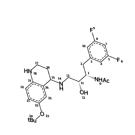 CC(=O)N[C@@H](Cc1cc(F)cc(F)c1)[C@H](O)CNC1CCNc2ccc(OC(C)(C)C)cc21